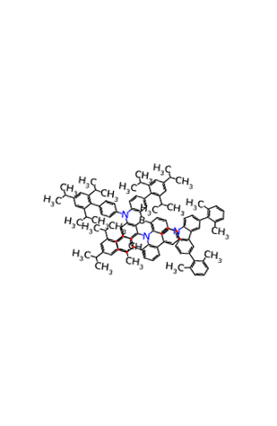 Cc1cccc(C)c1-c1ccc2c(c1)c1cc(-c3c(C)cccc3C)ccc1n2-c1ccc2c(c1)N(c1c(-c3ccccc3)cccc1-c1ccccc1)c1cc(-c3c(C(C)C)cc(C(C)C)cc3C(C)C)cc3c1B2c1cc(-c2c(C(C)C)cc(C(C)C)cc2C(C)C)ccc1N3c1ccc(-c2c(C(C)C)cc(C(C)C)cc2C(C)C)cc1